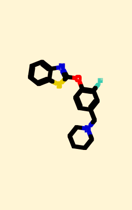 Fc1cc(CN2CCCCC2)ccc1Oc1nc2ccccc2s1